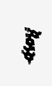 O=C(Nc1ccc(Nc2ccc(F)cc2C(F)(F)F)cc1)c1c(F)cc(F)cc1F